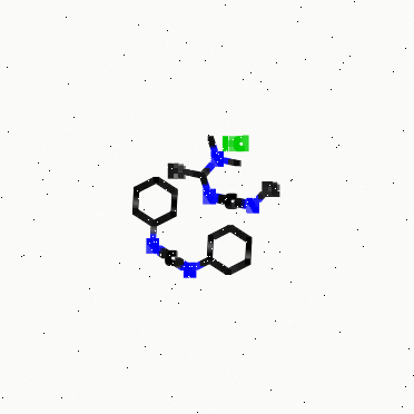 C(=NC1CCCCC1)=NC1CCCCC1.CCN=C=NC(CC)N(C)C.Cl